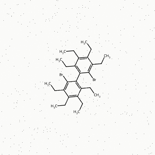 CCc1c(Br)c(-c2c(Br)c(CC)c(CC)c(CC)c2CC)c(CC)c(CC)c1CC